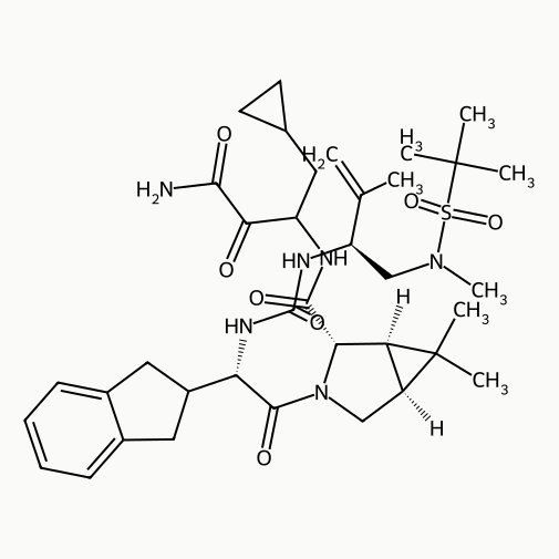 C=C(C)[C@@H](CN(C)S(=O)(=O)C(C)(C)C)NC(=O)N[C@H](C(=O)N1C[C@H]2[C@@H]([C@H]1C(=O)NC(CC1CC1)C(=O)C(N)=O)C2(C)C)C1Cc2ccccc2C1